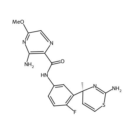 COc1cnc(C(=O)Nc2ccc(F)c([C@]3(C)C=CSC(N)=N3)c2)c(N)n1